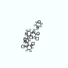 O=C(C(Cl)Cl)N(CCN1CCOCC1)c1ccnc(-c2cc(-c3c(Cl)cccc3Cl)no2)c1